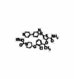 CC(Oc1cc(-n2cnc3cc(-c4ccncc4)ccc32)sc1C(N)=O)c1cccc(OC2CCN(C(=O)OC(C)(C)C)CC2)c1Cl